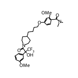 COc1cccc(C(O)(C(=O)N2CCC(CCCCOc3ccc(C(=O)N(C)C)c(OC)c3)CC2)C(F)(F)F)c1